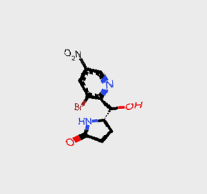 O=C1CC[C@@H](C(O)c2ncc([N+](=O)[O-])cc2Br)N1